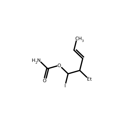 CC=CC(CC)C(I)OC(N)=O